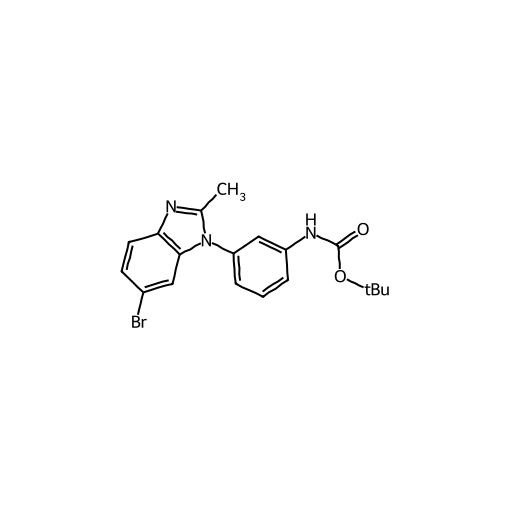 Cc1nc2ccc(Br)cc2n1-c1cccc(NC(=O)OC(C)(C)C)c1